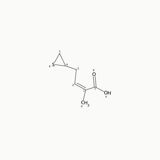 CC(=CCC1CS1)C(=O)O